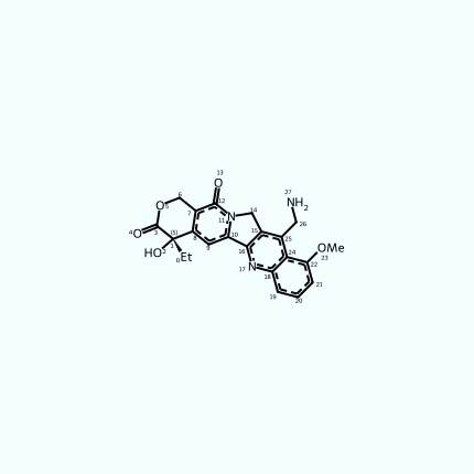 CC[C@@]1(O)C(=O)OCc2c1cc1n(c2=O)Cc2c-1nc1cccc(OC)c1c2CN